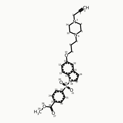 C#CCN1CCN(CCCOc2ccc3c(ccn3S(=O)(=O)c3ccc(C(=O)OC)cc3)c2)CC1